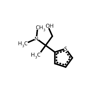 CN(C)C(C)(CO)c1cccs1